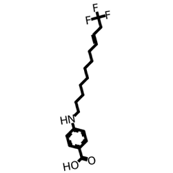 O=C(O)c1ccc(NCCCCCCCC/C=C/CC(F)(F)F)cc1